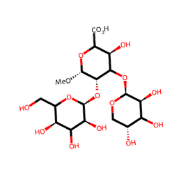 CO[C@@H]1OC(C(=O)O)[C@@H](O)C(O[C@@H]2OC[C@@H](O)C(O)[C@@H]2O)[C@@H]1O[C@@H]1OC(CO)[C@H](O)C(O)[C@@H]1O